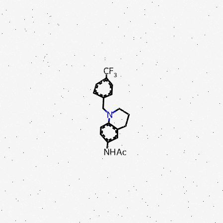 CC(=O)Nc1ccc2c(c1)CCCN2Cc1ccc(C(F)(F)F)cc1